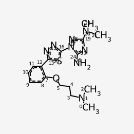 CN(C)CCCOc1ccccc1-c1nnc(-n2nc(N(C)C)nc2N)s1